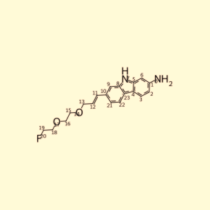 Nc1ccc2c(c1)[nH]c1cc(/C=C/COCCOCCF)ccc12